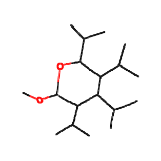 COC1OC(C(C)C)C(C(C)C)C(C(C)C)C1C(C)C